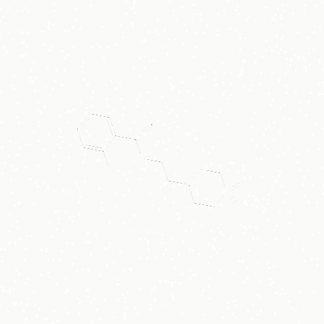 O=S1(=O)CCN(CCOC(O)c2ccccc2I)CC1